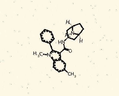 CC(=O)N1[C@@H]2CC[C@H]1C[C@@H](NC(=O)c1c(-c3ccccc3)n(C)c3ccc(C)cc13)C2